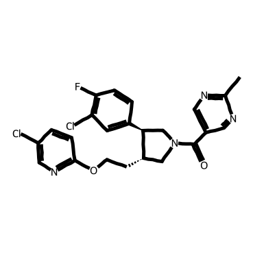 Cc1ncc(C(=O)N2C[C@H](CCOc3ccc(Cl)cn3)[C@@H](c3ccc(F)c(Cl)c3)C2)cn1